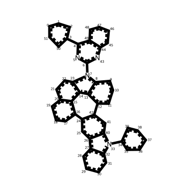 c1ccc(-c2nc(-n3c4cccc5c4c4c6c(cccc6ccc43)-c3cc4c6ccccc6n(-c6ccccc6)c4cc3-5)nc3ccccc23)cc1